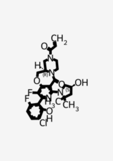 C=CC(=O)N1CCN2C(=O)c3c(N4C[C@@H](O)CC4(C)C)nc(-c4c(F)ccc(Cl)c4O)c(F)c3OC[C@H]2C1